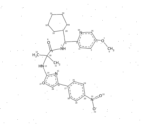 COc1ccc(C(NC(=O)C(C)(C)Nc2nc(-c3ccc([N+](=O)[O-])cc3)co2)C2CCCCC2)nc1